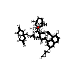 C#Cc1c(Cl)ccc2cc(OCOC)cc(-c3ncc4c(N5C[C@H]6CC[C@@H](C5)N6C(=O)O)nc(OCC56CC(=C)CN5CC(=C)C6)nc4c3F)c12